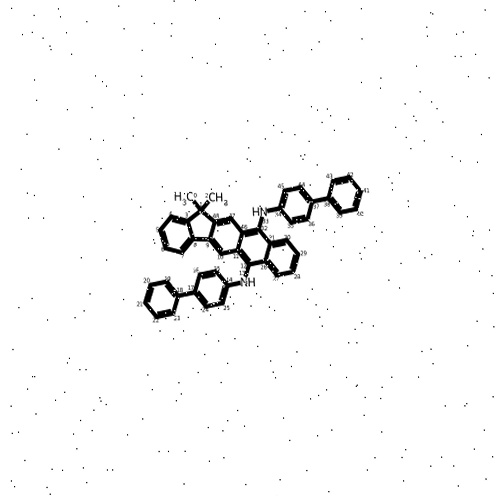 CC1(C)c2ccccc2-c2cc3c(Nc4ccc(-c5ccccc5)cc4)c4ccccc4c(Nc4ccc(-c5ccccc5)cc4)c3cc21